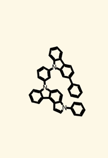 c1ccc(-c2ccc3c4ccccc4n(-c4cccc(-n5c6ccccc6c6c7ccn(-c8ccccc8)c7ccc65)c4)c3c2)cc1